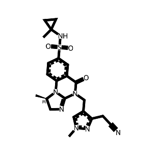 C[C@@H]1CN=C2N(Cc3cn(C)nc3CC#N)C(=O)c3cc(S(=O)(=O)NC4(C)CC4)ccc3N21